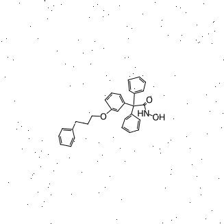 O=C(NO)C(c1ccccc1)(c1ccccc1)c1cccc(OCCCc2ccccc2)c1